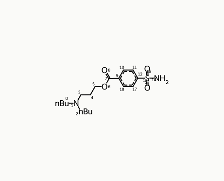 CCCCN(CCCC)CCCOC(=O)c1ccc(S(N)(=O)=O)cc1